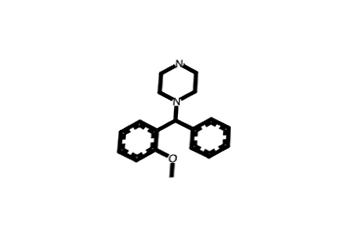 COc1ccccc1C(c1ccccc1)N1CC[N]CC1